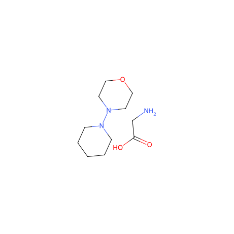 C1CCN(N2CCOCC2)CC1.NCC(=O)O